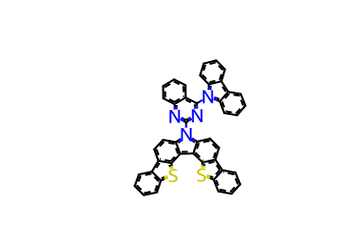 c1ccc2c(-n3c4ccccc4c4ccccc43)nc(-n3c4ccc5c6ccccc6sc5c4c4c5sc6ccccc6c5ccc43)nc2c1